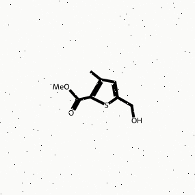 COC(=O)c1sc(CO)cc1C